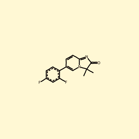 CC1(C)C(=O)N=C2C=CC(c3ccc(F)cc3F)=CN21